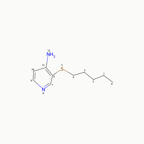 CCCCCSc1cnccc1N